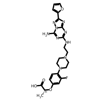 C[C@@H](Oc1ccc(N2CCN(CCNc3nc(N)n4nc(-c5ccco5)nc4n3)CC2)c(F)c1)C(=O)O